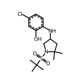 CC1(C)CC(Nc2ccc(Cl)cc2O)CN1S(=O)(=O)C(C)(C)C